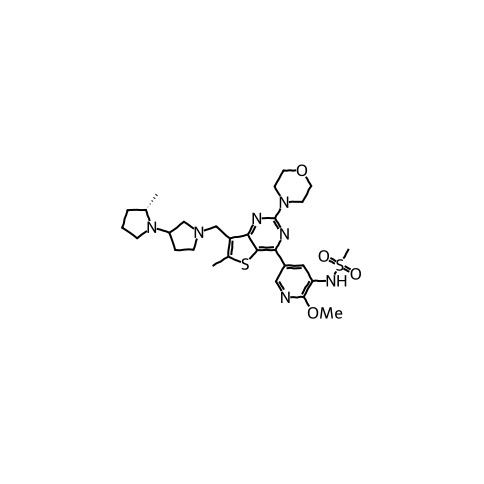 COc1ncc(-c2nc(N3CCOCC3)nc3c(CN4CCC(N5CCC[C@@H]5C)C4)c(C)sc23)cc1NS(C)(=O)=O